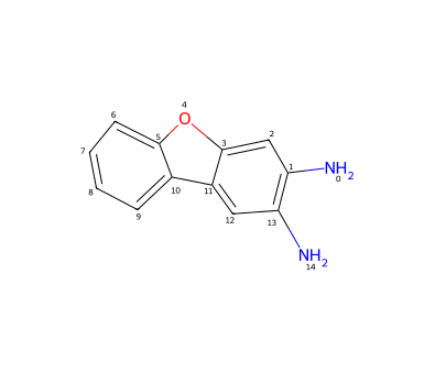 Nc1cc2oc3ccccc3c2cc1N